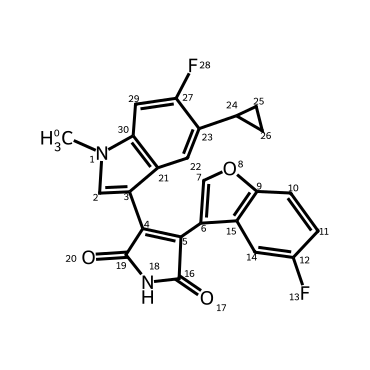 Cn1cc(C2=C(c3coc4ccc(F)cc34)C(=O)NC2=O)c2cc(C3CC3)c(F)cc21